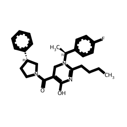 CCCCC1=NC(O)=C(C(=O)N2CC[C@H](c3ccccc3)C2)CN1[C@@H](C)c1ccc(F)cc1